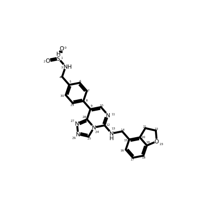 O=[SH](=O)NCc1ccc(-c2cnc(NCc3cccc4c3CCO4)n3cnnc23)cc1